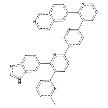 Cc1cccc(-c2ccc(-c3ccc(-c4cccnc4-c4ccc5cnccc5c4)nc3C)nc2-c2ccc3nc[nH]c3c2)n1